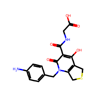 Nc1ccc(Cn2c3c(c(O)c(C(=O)NCC(=O)O)c2=O)CSC3)cc1